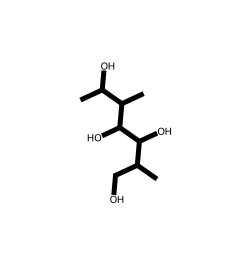 CC(O)C(C)C(O)C(O)C(C)CO